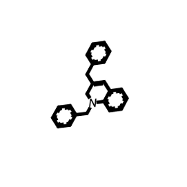 C1=C(Cc2ccccc2)CN(Cc2ccccc2)c2ccccc21